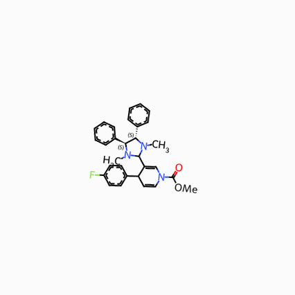 COC(=O)N1C=CC(c2ccc(F)cc2)C(C2N(C)[C@@H](c3ccccc3)[C@H](c3ccccc3)N2C)=C1